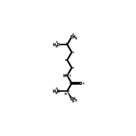 CC(C)CCCNC(=O)[C@H](C)N